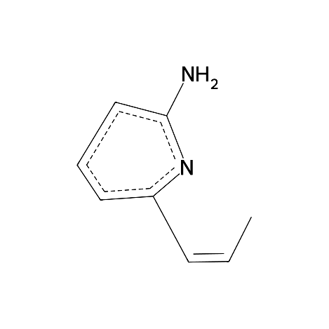 C/C=C\c1cccc(N)n1